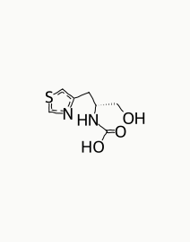 O=C(O)N[C@@H](CO)Cc1cscn1